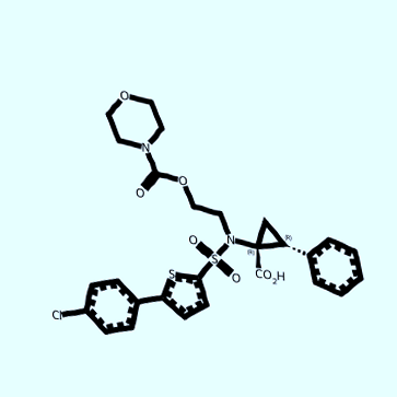 O=C(OCCN([C@]1(C(=O)O)C[C@@H]1c1ccccc1)S(=O)(=O)c1ccc(-c2ccc(Cl)cc2)s1)N1CCOCC1